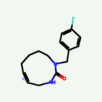 O=C1NC/C=C\CCCCN1Cc1ccc(F)cc1